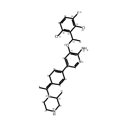 CC(=C1C=CC(c2cnc(N)c(OC(C)c3c(Cl)ccc(F)c3Cl)c2)=CC1)N1CCNCC1C